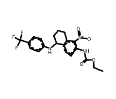 CCOC(=O)Nc1ccc2c(c1[N+](=O)[O-])CCCC2Nc1ccc(C(F)(F)F)cc1